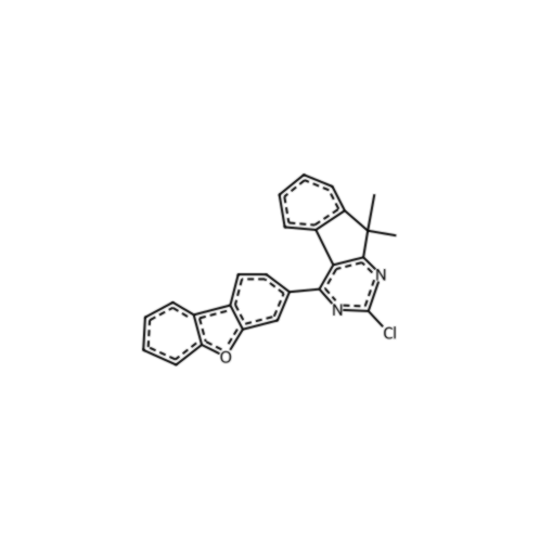 CC1(C)c2ccccc2-c2c(-c3ccc4c(c3)oc3ccccc34)nc(Cl)nc21